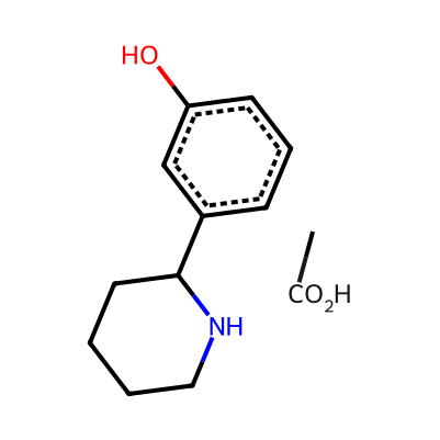 CC(=O)O.Oc1cccc(C2CCCCN2)c1